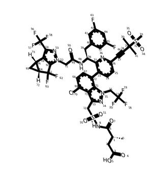 C[C@H](CC(=O)O)C(=O)NS(=O)(=O)Cc1nn(CC(F)(F)F)c2c(-c3ccc(C#CC(C)(C)S(C)(=O)=O)nc3[C@H](Cc3cc(F)cc(F)c3)NC(=O)Cn3nc(C(F)(F)F)c4c3C(F)(F)[C@@H]3C[C@H]43)ccc(Cl)c12